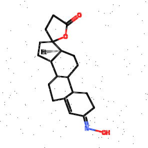 CC[C@]12CCC3C4CC/C(=N\O)C=C4CCC3C1CCC21CCC(=O)O1